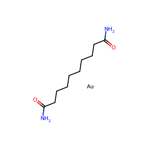 NC(=O)CCCCCCCCC(N)=O.[Au]